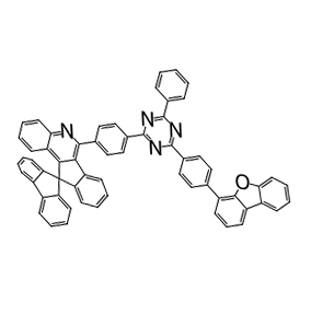 c1ccc(-c2nc(-c3ccc(-c4nc5ccccc5c5c4-c4ccccc4C54c5ccccc5-c5ccccc54)cc3)nc(-c3ccc(-c4cccc5c4oc4ccccc45)cc3)n2)cc1